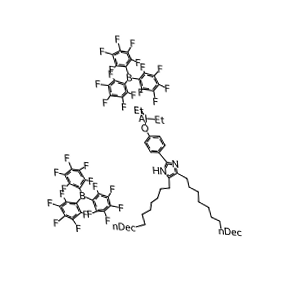 CCCCCCCCCCCCCCCCCc1nc(-c2ccc([O][Al]([CH2]C)[CH2]C)cc2)[nH]c1CCCCCCCCCCCCCCCCC.Fc1c(F)c(F)c(B(c2c(F)c(F)c(F)c(F)c2F)c2c(F)c(F)c(F)c(F)c2F)c(F)c1F.Fc1c(F)c(F)c(B(c2c(F)c(F)c(F)c(F)c2F)c2c(F)c(F)c(F)c(F)c2F)c(F)c1F